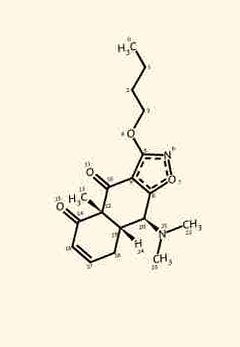 CCCCOc1noc2c1C(=O)[C@@]1(C)C(=O)C=CC[C@H]1[C@@H]2N(C)C